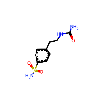 NC(=O)NCCc1ccc(S(N)(=O)=O)cc1